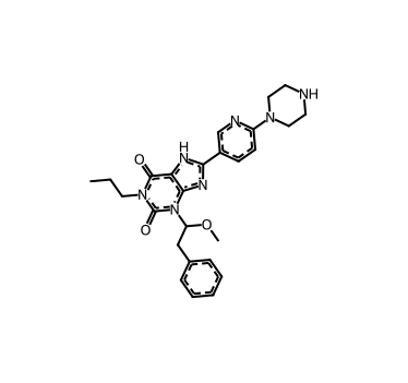 CCCn1c(=O)c2[nH]c(-c3ccc(N4CCNCC4)nc3)nc2n(C(Cc2ccccc2)OC)c1=O